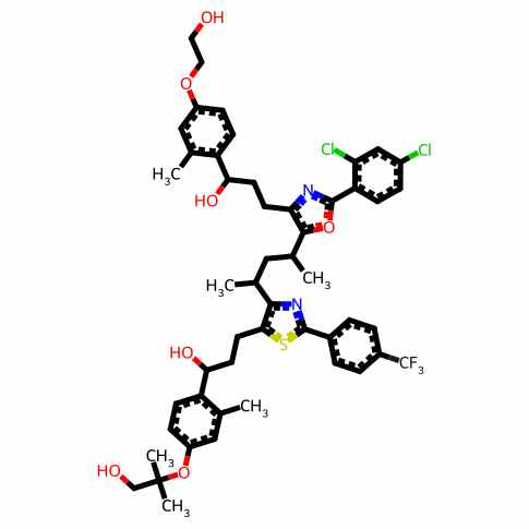 Cc1cc(OCCO)ccc1C(O)CCc1nc(-c2ccc(Cl)cc2Cl)oc1C(C)CC(C)c1nc(-c2ccc(C(F)(F)F)cc2)sc1CCC(O)c1ccc(OC(C)(C)CO)cc1C